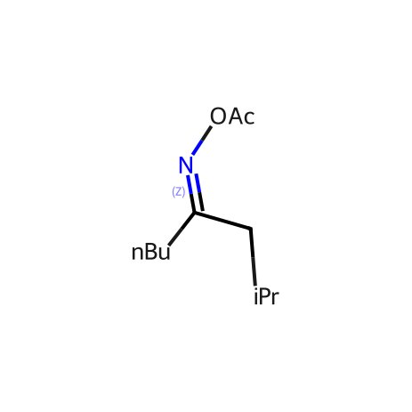 CCCC/C(CC(C)C)=N/OC(C)=O